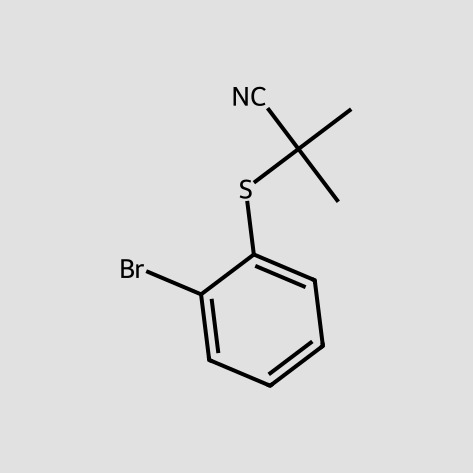 CC(C)(C#N)Sc1ccccc1Br